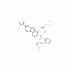 CC(C)C1=C[N+]2=C(CC1C(C)C)c1ccccc1C1C2C12c1ccc3c(sc4cc(C5=CCCC=C5F)ccc43)c1C1C=C(CC3CCCC3)C=C[N+]12C